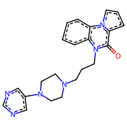 O=c1c2cccn2c2ccccc2n1CCCN1CCN(c2cncnc2)CC1